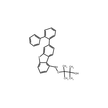 CC(C)(O)C(C)(C)OBc1cccc2sc3cc(-c4ccccc4-c4ccccc4)ccc3c12